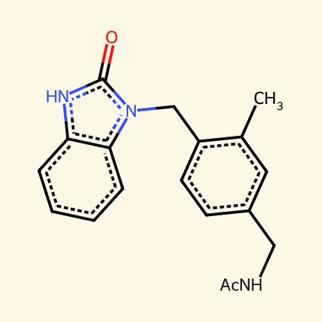 CC(=O)NCc1ccc(Cn2c(=O)[nH]c3ccccc32)c(C)c1